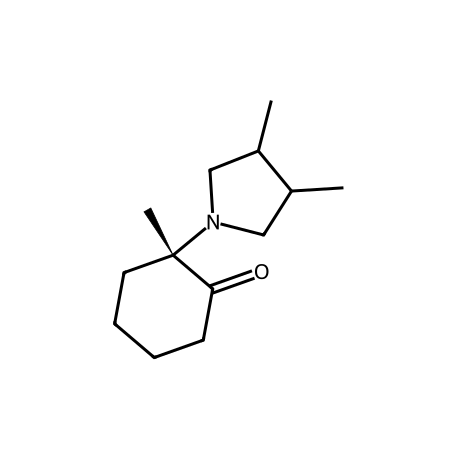 CC1CN([C@@]2(C)CCCCC2=O)CC1C